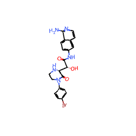 Nc1nccc2cc(NC(=O)[C@H](O)[C@H]3NCCN(c4ccc(Br)cc4)C3=O)ccc12